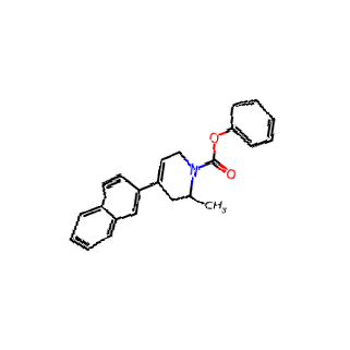 CC1CC(c2ccc3ccccc3c2)=CCN1C(=O)Oc1ccccc1